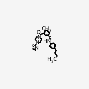 CCCCc1ccc(NSc2ccc(C)c(C(=O)N3CCN(c4nccs4)CC3)c2)cc1